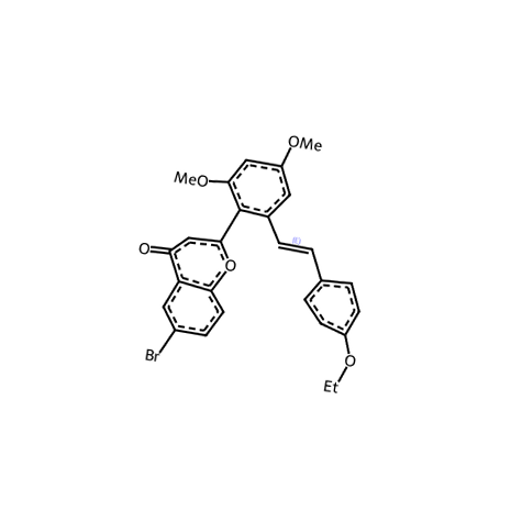 CCOc1ccc(/C=C/c2cc(OC)cc(OC)c2-c2cc(=O)c3cc(Br)ccc3o2)cc1